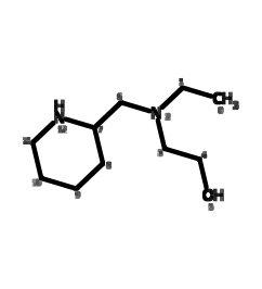 CCN(CCO)CC1CCCCN1